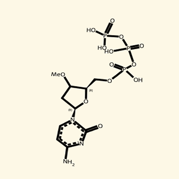 COC1C[C@H](n2ccc(N)nc2=O)O[C@@H]1COP(=O)(O)OP(=O)(O)OP(=O)(O)O